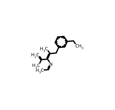 C=C(C)C(/N=C\C)=C(\C)Cc1cccc(CC)c1